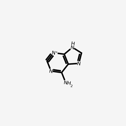 Nc1nc#[n+]c2[nH]cnc12